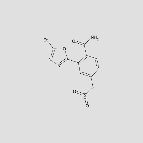 CCc1nnc(-c2cc(C[SH](=O)=O)ccc2C(N)=O)o1